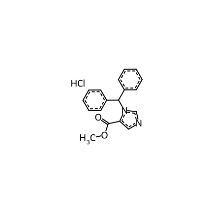 COC(=O)c1cncn1C(c1ccccc1)c1ccccc1.Cl